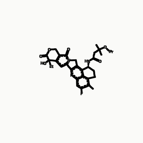 CC[C@@]1(O)C(=O)OCc2c1cc1n(c2=O)Cc2c-1nc1cc(F)c(C)c3c1c2[C@@H](NC(=O)CC(C)(C)OC(C)C)CC3